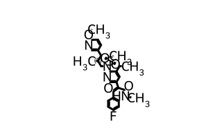 CCc1cc2c(C(=O)NC)c(-c3ccc(F)cc3)oc2nc1N(C[C@@H](C)Cc1ccc(OC)nc1)S(C)(=O)=O